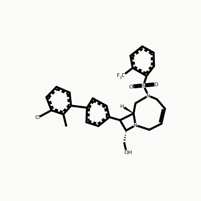 Cc1c(Cl)cccc1-c1ccc(C2[C@@H](CO)N3C/C=C\CN(S(=O)(=O)c4ccccc4C(F)(F)F)C[C@@H]23)cc1